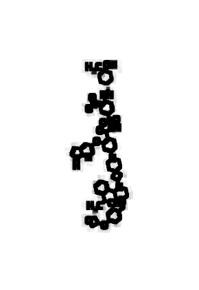 CC(C)c1ccccc1C1CN(Cc2ccc(OC3COC3)cc2)CCN1C1CC2(CCN(c3ccc(C(=O)NS(=O)(=O)c4ccc(NC[C@H]5CC[C@](C)(O)CC5)c([N+](=O)[O-])c4)c(Oc4cnc5[nH]ccc5c4)c3)CC2)C1